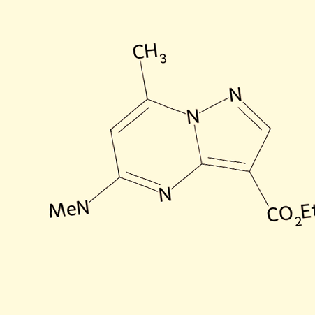 CCOC(=O)c1cnn2c(C)cc(NC)nc12